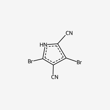 N#Cc1[nH]c(Br)c(C#N)c1Br